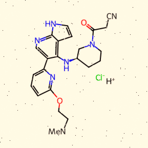 CNCCOc1cccc(-c2cnc3[nH]ccc3c2N[C@@H]2CCCN(C(=O)CC#N)C2)n1.[Cl-].[H+]